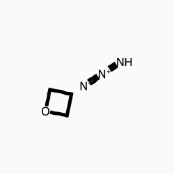 C1COC1.[N-]=[N+]=N